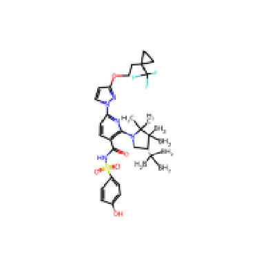 BC(B)(B)[C@@H]1CN(c2nc(-n3ccc(OCCC4(C(F)(F)F)CC4)n3)ccc2C(=O)NS(=O)(=O)c2ccc(O)cc2)C(C)(C)C1(B)B